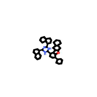 c1ccc(-c2ccc(C3NC(c4cccc5ccccc45)=NC(c4cccc5ccccc45)N3)c3c2oc2cc4ccccc4cc23)cc1